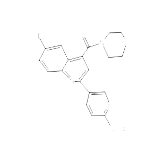 CC(=O)Nc1ccc(-c2cc(C(=O)N3CCOCC3)c3cc(Cl)ccc3n2)cn1